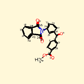 COC(=O)c1ccc(C(=O)c2cccc(N3C(=O)c4ccccc4C3=O)c2)cc1